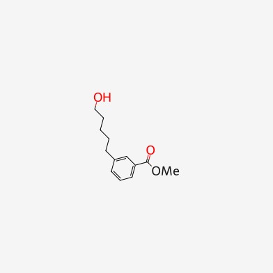 COC(=O)c1cccc(CCCCCO)c1